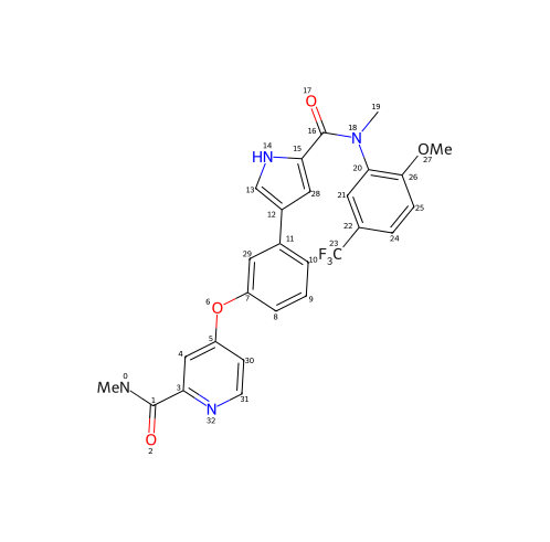 CNC(=O)c1cc(Oc2cccc(-c3c[nH]c(C(=O)N(C)c4cc(C(F)(F)F)ccc4OC)c3)c2)ccn1